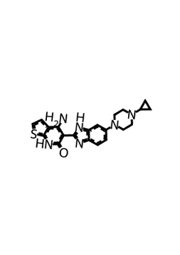 Nc1c(-c2nc3ccc(N4CCN(C5CC5)CC4)cc3[nH]2)c(=O)[nH]c2sccc12